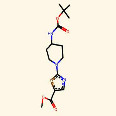 COC(=O)c1cnc(N2CCC(NC(=O)OC(C)(C)C)CC2)s1